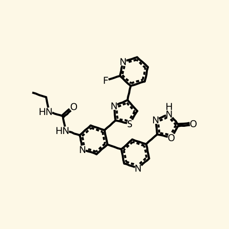 CCNC(=O)Nc1cc(-c2nc(-c3cccnc3F)cs2)c(-c2cncc(-c3n[nH]c(=O)o3)c2)cn1